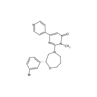 Cn1c(N2CCCO[C@H](c3cccc(Br)c3)C2)nc(-c2ccncc2)cc1=O